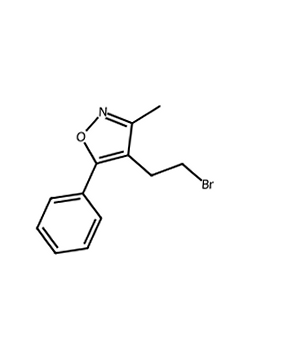 Cc1noc(-c2ccccc2)c1CCBr